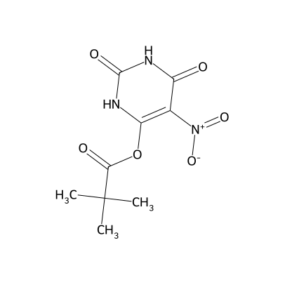 CC(C)(C)C(=O)Oc1[nH]c(=O)[nH]c(=O)c1[N+](=O)[O-]